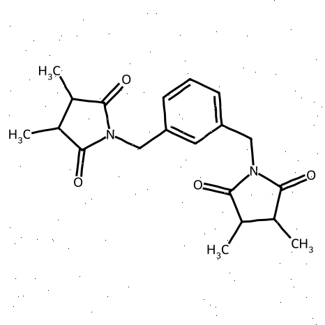 CC1C(=O)N(Cc2cccc(CN3C(=O)C(C)C(C)C3=O)c2)C(=O)C1C